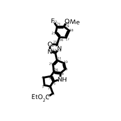 CCOC(=O)CC1CCc2c1[nH]c1ccc(-c3noc(-c4ccc(OC)c(F)c4)n3)cc21